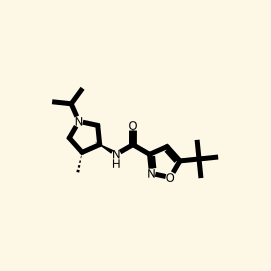 CC(C)N1C[C@@H](C)[C@H](NC(=O)c2cc(C(C)(C)C)on2)C1